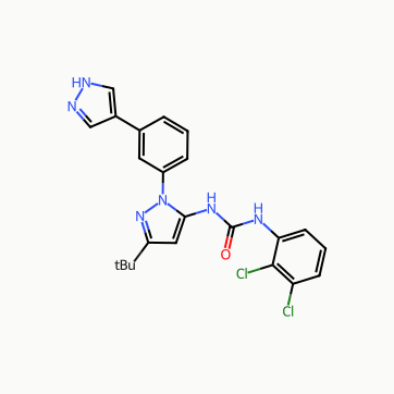 CC(C)(C)c1cc(NC(=O)Nc2cccc(Cl)c2Cl)n(-c2cccc(-c3cn[nH]c3)c2)n1